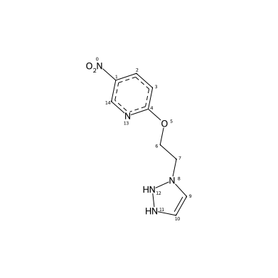 O=[N+]([O-])c1ccc(OCCN2C=CNN2)nc1